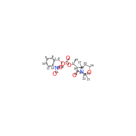 C[C@H](OC(=O)OCc1ccccc1[N+](=O)[O-])[C@@H]1C(=O)N2C(C)(C)OCCC12C